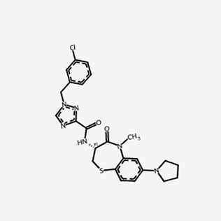 CN1C(=O)[C@@H](NC(=O)c2ncn(Cc3cccc(Cl)c3)n2)CSc2ccc(N3CCCC3)cc21